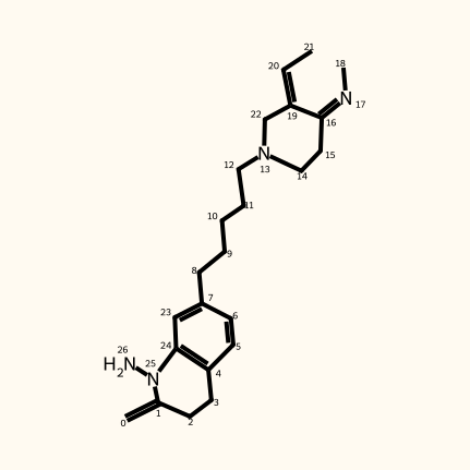 C=C1CCc2ccc(CCCCCN3CCC(=N/C)/C(=C\C)C3)cc2N1N